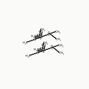 CCCCCCCCOC(CCCCCN(CCCCO)CCCCCCOC(=O)C(CCCCCC)CCCCCCCC)O[Si](C)(C)O[Si](C)(C)CCCCCCCC.CCCCCCCCOC(CCCCCN(CCCCO)CCCCCCOC(=O)C(CCCCCC)CCCCCCCC)O[Si](C)(C)O[Si](C)(C)CCCCCCCC